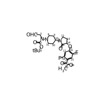 CC(C)(C)OC(=O)N(CC=O)N1CCC(N2CCC(Oc3cc(F)c(S(C)(=O)=O)cc3F)C2=O)CC1